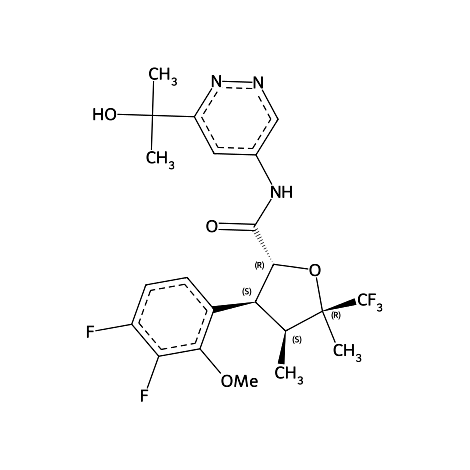 COc1c([C@H]2[C@H](C(=O)Nc3cnnc(C(C)(C)O)c3)O[C@@](C)(C(F)(F)F)[C@H]2C)ccc(F)c1F